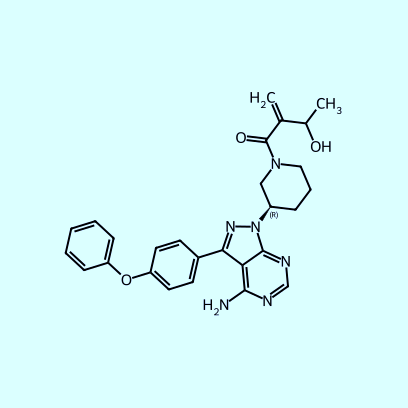 C=C(C(=O)N1CCC[C@@H](n2nc(-c3ccc(Oc4ccccc4)cc3)c3c(N)ncnc32)C1)C(C)O